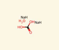 O.O=C(O)O.[NaH].[NaH]